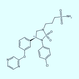 NS(=O)(=O)CCCN1C[C@H](c2cccc(Oc3cnccn3)c2)N(c2ccc(Cl)cc2)S1(=O)=O